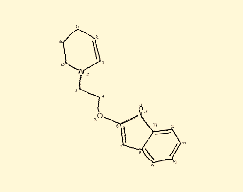 C1=CN(CCOc2cc3ccccc3[nH]2)CCC1